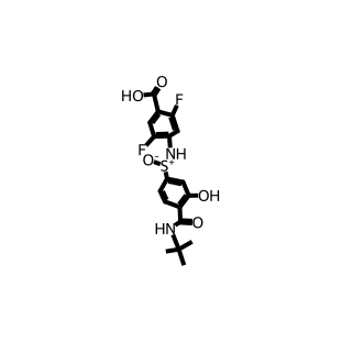 CC(C)(C)NC(=O)c1ccc([S+]([O-])Nc2cc(F)c(C(=O)O)cc2F)cc1O